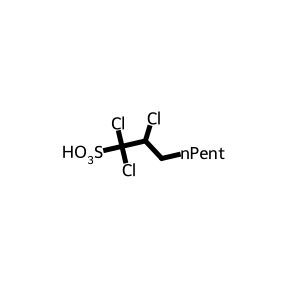 CCCCCCC(Cl)C(Cl)(Cl)S(=O)(=O)O